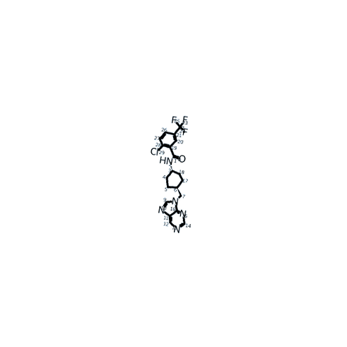 O=C(N[C@H]1CC[C@H](Cn2cnc3cncnc32)CC1)c1cc(C(F)(F)F)ccc1Cl